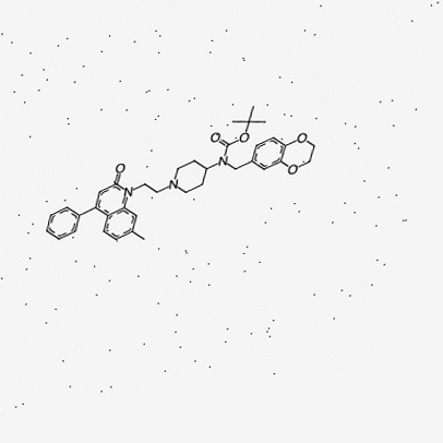 Cc1ccc2c(-c3ccccc3)cc(=O)n(CCN3CCC(N(Cc4ccc5c(c4)OCCO5)C(=O)OC(C)(C)C)CC3)c2c1